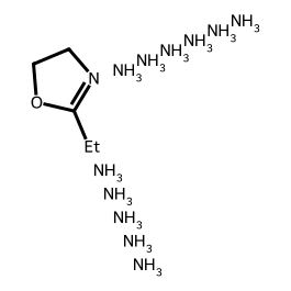 CCC1=NCCO1.N.N.N.N.N.N.N.N.N.N.N